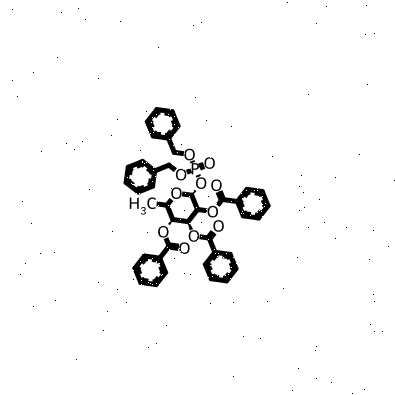 CC1O[C@H](OP(=O)(OCc2ccccc2)OCc2ccccc2)C(OC(=O)c2ccccc2)[C@@H](OC(=O)c2ccccc2)[C@@H]1OC(=O)c1ccccc1